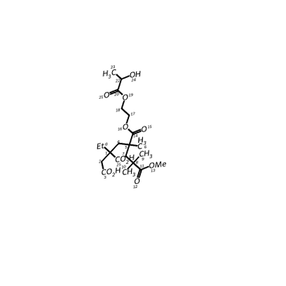 CCC(CC(=O)O)(CC(C)(CC(C)(C)C(=O)OC)C(=O)OCCOC(=O)C(C)O)C(=O)O